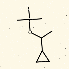 CC(OC(C)(C)C)C1CC1